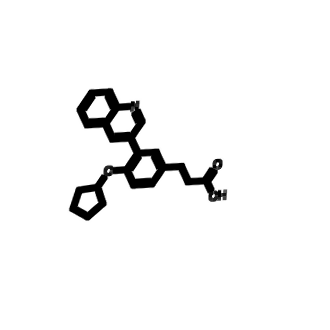 O=C(O)CCc1ccc(OC2CCCC2)c(-c2cnc3ccccc3c2)c1